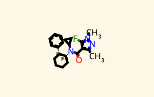 Cc1nn(C)c(F)c1C(=O)N(C1CC1)[C@@H]1CCCC[C@@H]1c1ccccc1